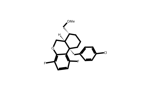 COC[C@@H]1CCC[C@@]2(Cc3ccc(Cl)cc3)c3c(F)ccc(F)c3OC[C@@H]12